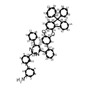 Nc1cccc(-c2cccc(-c3nc(-c4ccccc4)cc(-c4ccccc4-c4ccc5c(c4)Oc4c(ccc6c4-c4ccccc4C6(c4ccccc4)c4ccccc4)O5)n3)c2)c1